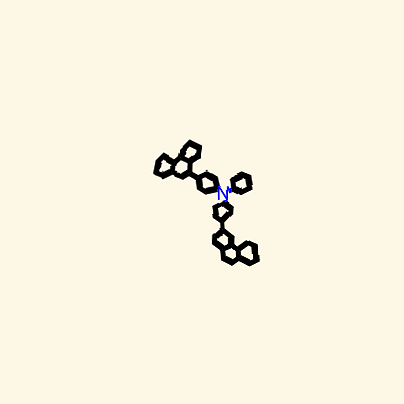 c1ccc(N(c2ccc(-c3ccc4ccc5ccccc5c4c3)cc2)c2ccc(-c3cc4ccccc4c4ccccc34)cc2)cc1